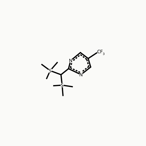 CS(C)(C)C(c1ncc(C(F)(F)F)cn1)S(C)(C)C